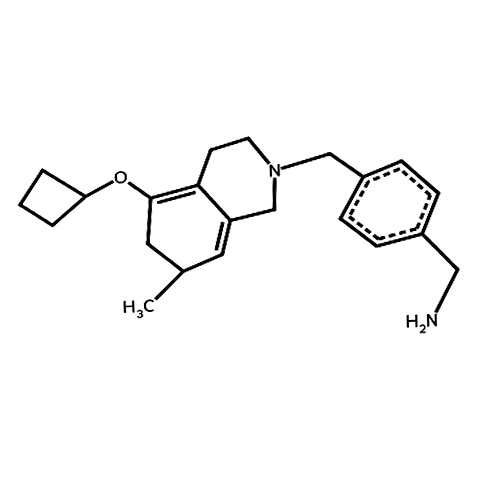 CC1C=C2CN(Cc3ccc(CN)cc3)CCC2=C(OC2CCC2)C1